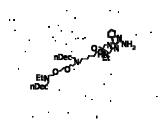 CCCCCCCCCCCN(CC)CCOCCOCCN(CCCCCCCCCCC)CCCCCC(=O)OC(C)(C)Cn1c(CNCC)nc2c(N)nc3ccccc3c21